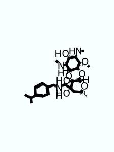 CN[C@@H]1[C@H](O)[C@H](NC)[C@H]2O[C@]3(O)[C@H](OC2[C@H]1OC)O[C@H](C)C[C@@]3(O)CNCc1ccc(C(C)C)cc1